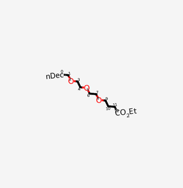 CCCCCCCCCCCOCCOCCOCCCC(=O)OCC